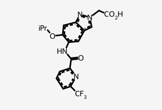 CC(C)Oc1cc2nn(CC(=O)O)cc2cc1NC(=O)c1cccc(C(F)(F)F)n1